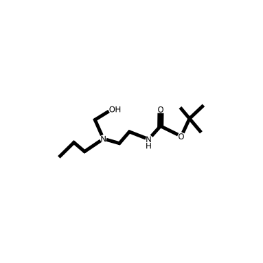 CCCN(CO)CCNC(=O)OC(C)(C)C